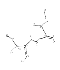 CC=C(SS/C(=C\C)C(C)CC)C(C)CC